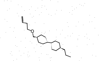 C=CCCOC[C@H]1CC[C@H]([C@H]2CC[C@H](CCC)CC2)CC1